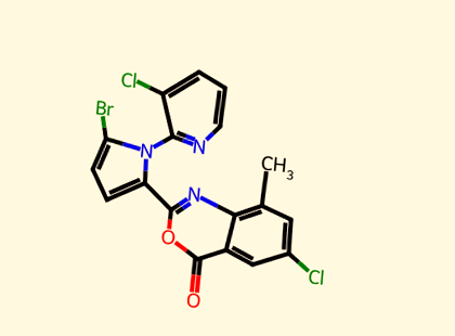 Cc1cc(Cl)cc2c(=O)oc(-c3ccc(Br)n3-c3ncccc3Cl)nc12